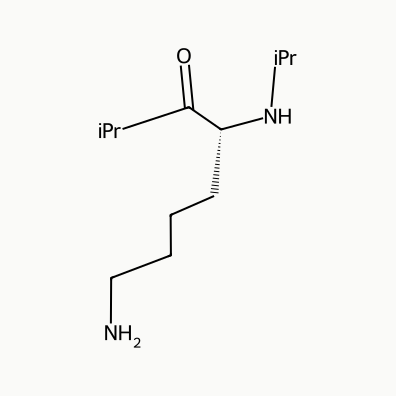 CC(C)N[C@H](CCCCN)C(=O)C(C)C